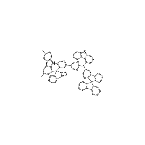 Cc1ccc2c(c1)c1cc(C)cc3c1n2-c1ccc(-c2ccc(N(c4ccc5c(c4)-c4ccccc4C54c5ccccc5-c5ccccc54)c4cccc5sc6ccccc6c45)cc2)cc1C31c2ccccc2-c2ccccc21